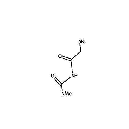 CCCCCC(=O)NC(=O)NC